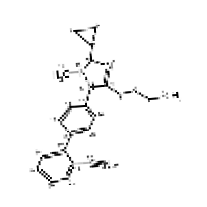 CCCCC1=NC(C2CC2)N(C)N1c1ccc(-c2ccccc2C#N)cc1